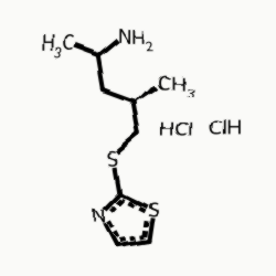 CC(N)C[C@@H](C)CSc1nccs1.Cl.Cl